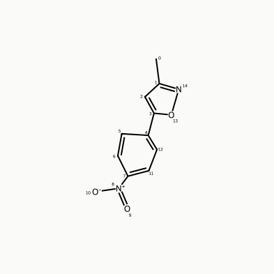 Cc1cc(-c2ccc([N+](=O)[O-])cc2)on1